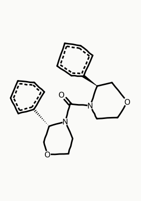 O=C(N1CCOC[C@@H]1c1ccccc1)N1CCOC[C@@H]1c1ccccc1